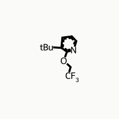 CC(C)(C)c1cccnc1OCC(F)(F)F